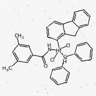 Cc1cc(C)cc(C(=O)[NH][Hf]([Cl])([Cl])([c]2cccc3c2Cc2ccccc2-3)[SiH](c2ccccc2)c2ccccc2)c1